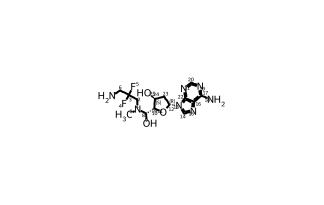 CN(CC(F)(F)CN)C(O)[C@H]1O[C@@H](n2cnc3c(N)ncnc32)C[C@@H]1O